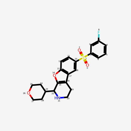 O=S(=O)(c1cccc(F)c1)c1ccc2oc3c(c2c1)CCNC3C1CCOCC1